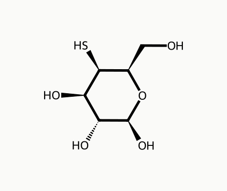 OC[C@H]1O[C@@H](O)[C@H](O)[C@@H](O)[C@H]1S